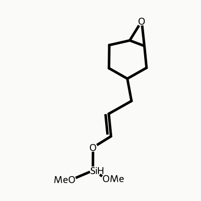 CO[SiH](OC)OC=CCC1CCC2OC2C1